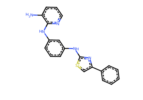 Nc1cccnc1Nc1cccc(Nc2nc(-c3ccccc3)cs2)c1